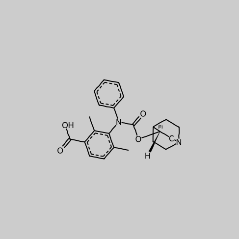 Cc1ccc(C(=O)O)c(C)c1N(C(=O)O[C@H]1CN2CCC1CC2)c1ccccc1